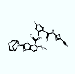 COc1ccc2nc(N3C4COCC3C4)sc2c1C(=O)Nc1cc(F)ccc1C(=O)NC12CC(C#N)(C1)C2